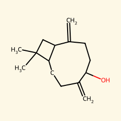 C=C1CCC2C(CC2(C)C)C(=C)CCC1O